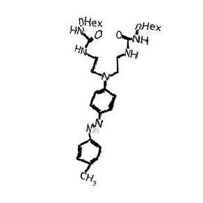 CCCCCCNC(=O)NCCN(CCNC(=O)NCCCCCC)c1ccc(/N=N/c2ccc(C)cc2)cc1